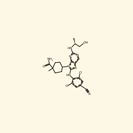 C[C@@H](CO)Nc1ncc2nc(Nc3c(Cl)cc(C#N)cc3Cl)n(C3CCC(C)(C(N)=O)CC3)c2n1